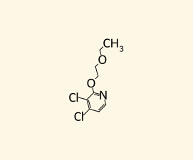 CCOCCOc1nccc(Cl)c1Cl